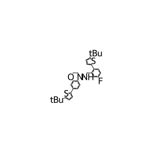 CC(C)(C)c1ccc(-c2ccc3c(c2)OCCN3NCc2cc(F)ccc2-c2ccc(C(C)(C)C)s2)s1